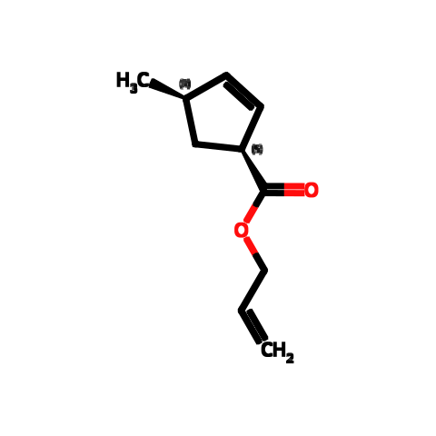 C=CCOC(=O)[C@@H]1C=C[C@H](C)C1